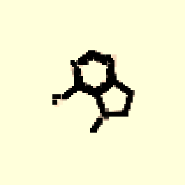 CN1CCc2ncnc(Cl)c21